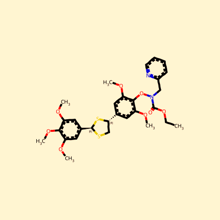 CCOC(=O)N(Cc1ccccn1)Oc1c(OC)cc([C@@H]2CS[C@@H](c3cc(OC)c(OC)c(OC)c3)S2)cc1OC